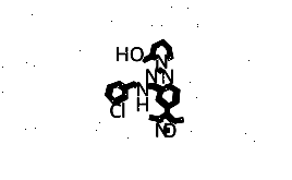 Cc1noc(C)c1-c1ccc2nc(N3CCCCC3CO)nc(NCc3cccc(Cl)c3)c2c1